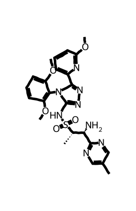 COc1cccc(-c2nnc(NS(=O)(=O)[C@@H](C)[C@H](N)c3ncc(C)cn3)n2-c2c(OC)cccc2OC)n1